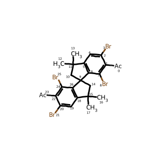 CC(=O)c1c(Br)cc2c(c1Br)C1(CC2(C)C)CC(C)(C)c2cc(Br)c(C(C)=O)c(Br)c21